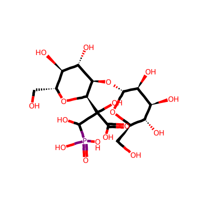 O=C(O)C(O)(C(O)P(=O)(O)O)[C@H]1O[C@H](CO)[C@@H](O)[C@H](O)[C@H]1O[C@H]1O[C@H](CO)[C@@H](O)[C@H](O)[C@@H]1O